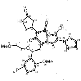 COCCO[C@@H](Cn1c(=O)n(C2CNC(=O)C2)c(=O)c2c(C)c(-n3nccn3)sc21)c1cc(F)ccc1OC